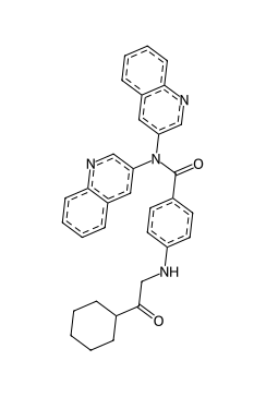 O=C(CNc1ccc(C(=O)N(c2cnc3ccccc3c2)c2cnc3ccccc3c2)cc1)C1CCCCC1